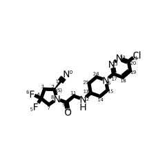 N#C[C@@H]1CC(F)(F)CN1C(=O)CNC1CCN(c2ccc(Cl)nn2)CC1